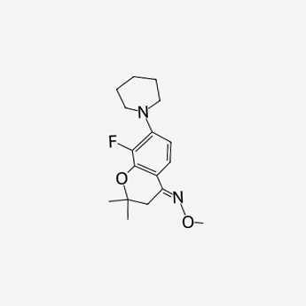 CO/N=C1\CC(C)(C)Oc2c1ccc(N1CCCCC1)c2F